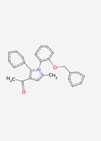 CC(=O)c1cc(C)n(-c2ccccc2OCc2ccccc2)c1-c1ccccc1